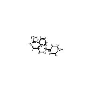 Oc1ncc2c3c(cccc13)N(C1CCNCC1)CC2